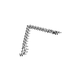 [Al+3].[Al+3].[Al+3].[N-3].[N-3].[N-3].[N-3].[N-3].[N-3].[N-3].[N-3].[N-3].[N-3].[N-3].[N-3].[N-3].[N-3].[Ta+5].[Ta+5].[Ta+5].[W+6].[W+6].[W+6]